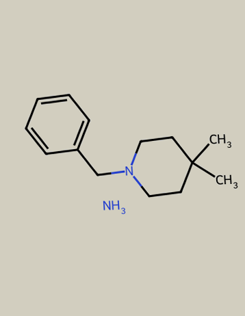 CC1(C)CCN(Cc2ccccc2)CC1.N